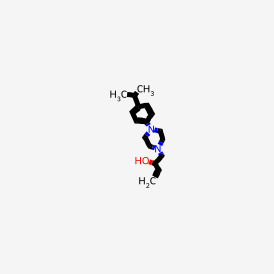 C=CC(O)CN1CCN(c2ccc(C(C)C)cc2)CC1